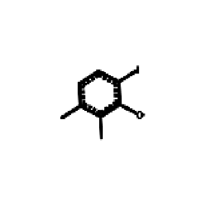 Cc1ccc(I)c([O])c1C